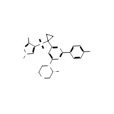 Cc1nn(C)cc1S(=O)(=O)C1(c2cc(N3CCOC[C@@H]3C)nc(-c3ccc(N)cc3)n2)CC1